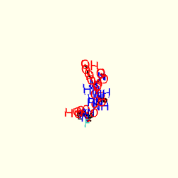 CC[C@@]1(O)C(=O)OCc2c1cc1n(c2=O)Cc2c-1nc1cc(F)c(C)c3c1c2[C@@H](NC(=O)CCCNC(=O)CNC(=O)[C@H](Cc1ccccc1)NC(=O)CNC(=O)CNC(=O)CN(CCOCCOCCOCCO)C(=O)CCCCCN1C(=O)C=CC1=O)CC3